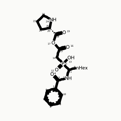 CCCCCCC(NC(=O)c1ccccc1)P(=O)(O)CC(=O)OC(=O)[C@@H]1CCCN1